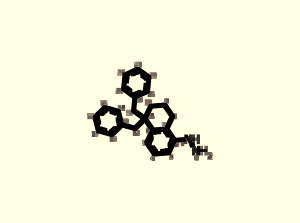 NNc1cccc2c1CCCC2(Cc1ccccc1)Cc1ccccc1